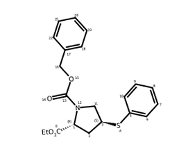 CCOC(=O)[C@H]1C[C@H](Sc2ccccc2)CN1C(=O)OCc1ccccc1